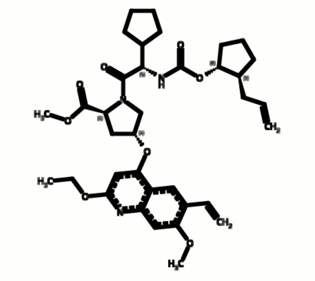 C=CC[C@@H]1CCC[C@H]1OC(=O)N[C@H](C(=O)N1C[C@H](Oc2cc(OCC)nc3cc(OC)c(C=C)cc23)C[C@H]1C(=O)OC)C1CCCC1